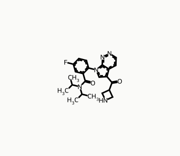 CC(C)N(C(=O)c1cc(F)ccc1-n1cc(C(=O)C2CNC2)c2ccnnc21)C(C)C